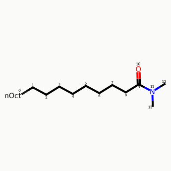 CCCCCCCCCCCCCCCCC(=O)N(C)C